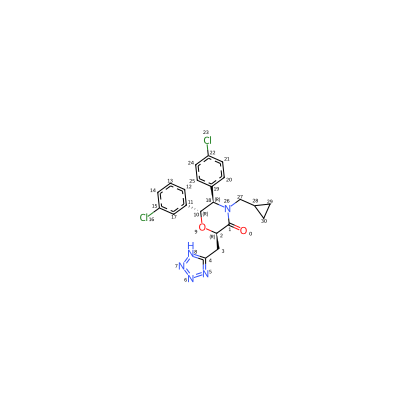 O=C1[C@@H](Cc2nnn[nH]2)O[C@H](c2cccc(Cl)c2)[C@@H](c2ccc(Cl)cc2)N1CC1CC1